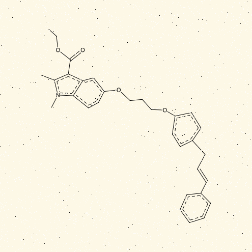 CCOC(=O)c1c(C)n(C)c2ccc(OCCCOc3ccc(C/C=C/c4ccccc4)cc3)cc12